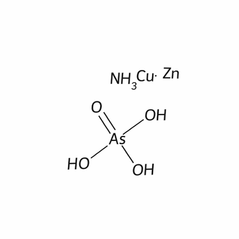 N.O=[As](O)(O)O.[Cu].[Zn]